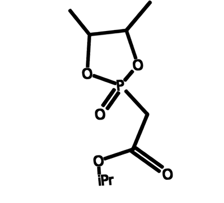 CC(C)OC(=O)CP1(=O)OC(C)C(C)O1